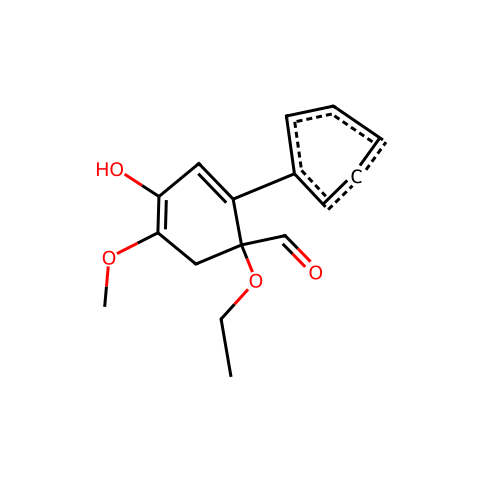 CCOC1(C=O)CC(OC)=C(O)C=C1c1ccccc1